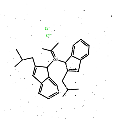 C[C](C)=[Zr+2]([CH]1C(CC(C)C)=Cc2ccccc21)[CH]1C(CC(C)C)=Cc2ccccc21.[Cl-].[Cl-]